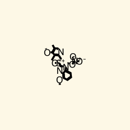 COc1c(C)cnc(C[S+]([O-])c2nc3c(OC)cccc3n2CO[N+](=O)[O-])c1C